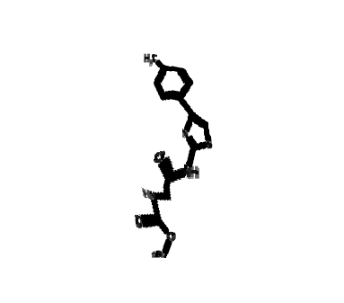 Cc1ccc(-c2csc(NC(=O)CNC(=O)OC(C)(C)C)n2)cc1